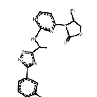 CC(Nc1nccc(N2C(=O)OCC2C(C)C)n1)c1nc(-c2cccc(F)c2)no1